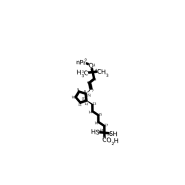 CCCOC(C)(C)CC=C[C@H]1CCC[C@@H]1CCCCCC(S)(S)C(=O)O